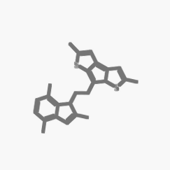 CC1=CC2=c3cc(C)sc3=C(CCC3C(C)=Cc4c(C)ccc(C)c43)C2S1